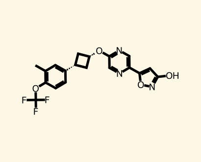 Cc1cc([C@H]2C[C@@H](Oc3cnc(-c4cc(O)no4)cn3)C2)ccc1OC(F)(F)F